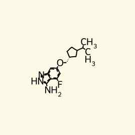 CC(C)C1CC[C@@H](COc2cc(F)c3c(N)[nH]nc3c2)C1